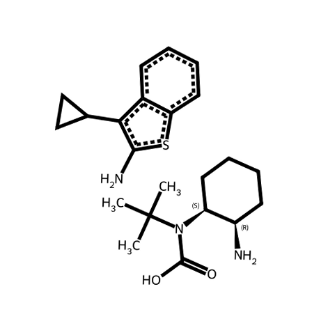 CC(C)(C)N(C(=O)O)[C@H]1CCCC[C@H]1N.Nc1sc2ccccc2c1C1CC1